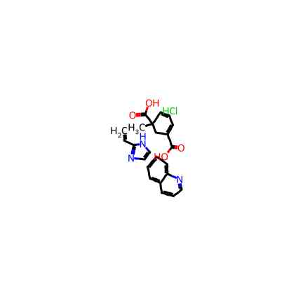 C=Cc1ncc[nH]1.CC1(C(=O)O)C=CC=C(C(=O)O)C1.Cl.c1ccc2ncccc2c1